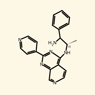 C[C@H](Nc1nc(-c2ccncc2)nc2cnccc12)C(N)c1ccccc1